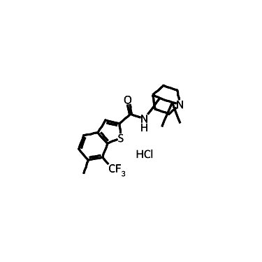 Cc1ccc2cc(C(=O)NC3C4CCN(CC4)C3(C)C)sc2c1C(F)(F)F.Cl